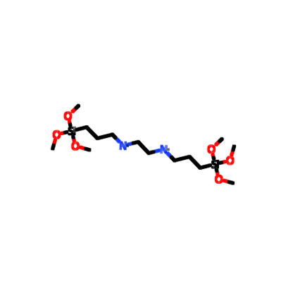 CO[Si](CCC[N]CC[N]CCC[Si](OC)(OC)OC)(OC)OC